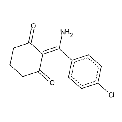 NC(=C1C(=O)CCCC1=O)c1ccc(Cl)cc1